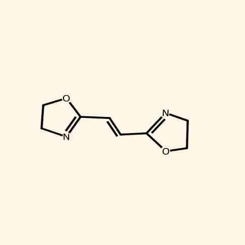 C(=CC1=NCCO1)C1=NCCO1